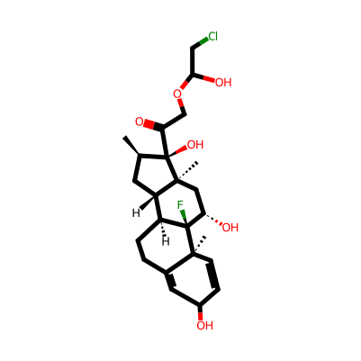 C[C@@H]1C[C@H]2[C@@H]3CCC4=CC(O)C=C[C@]4(C)[C@@]3(F)[C@@H](O)C[C@]2(C)[C@@]1(O)C(=O)COC(O)CCl